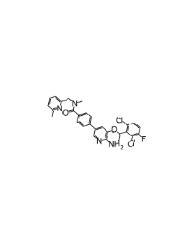 Cc1cccc(CN(C)C(=O)c2ccc(-c3cnc(N)c(OC(C)c4c(Cl)ccc(F)c4Cl)c3)cc2)n1